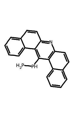 PPc1c2c(ccc3ccccc32)nc2ccc3ccccc3c12